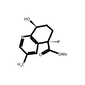 COC(=O)[C@]1(F)CC[C@H](O)c2ncc(C)cc21